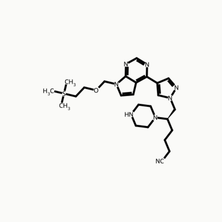 CS(C)(C)CCOCn1ccc2c(-c3cnn(C[C@@H](CCCC#N)N4CCNCC4)c3)ncnc21